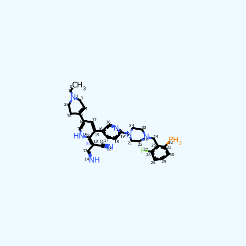 CCN1CC=C(C2=CN/C(=C(/C#N)C=N)C(c3ccc(N4CCN(Cc5c(F)cccc5P)CC4)nc3)=C2)CC1